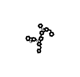 c1ccc(Cc2ccc3c(c2)c2cc(-c4ccc5c6cc(Cc7ccccc7)ccc6n(-c6ccc7c(c6)oc6ccccc67)c5c4)ccc2n3-c2ccccc2)cc1